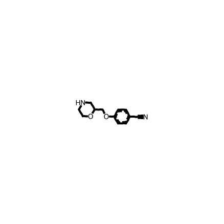 N#Cc1ccc(OCC2CNCCO2)cc1